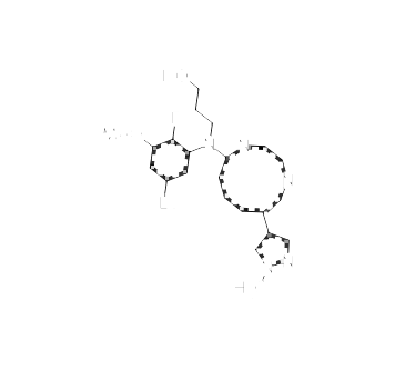 CCc1cc(OC)c(F)c(N(CCCO)c2cccc(-c3cnn(C)c3)cnccn2)c1